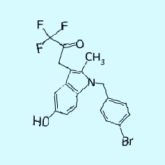 Cc1c(CC(=O)C(F)(F)F)c2cc(O)ccc2n1Cc1ccc(Br)cc1